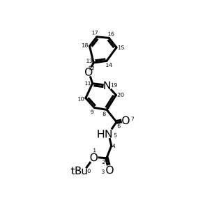 CC(C)(C)OC(=O)CNC(=O)c1ccc(Oc2ccccc2)nc1